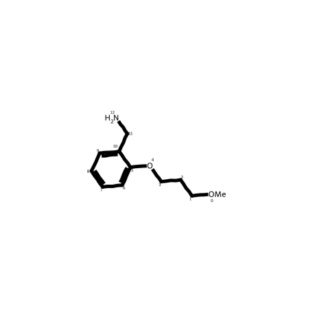 COCCCOc1ccccc1CN